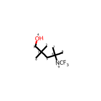 CC(C)(CO)CC(C)(C)NC(F)(F)F